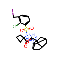 NC(=O)C12CC3CC(C1)C(NC(=O)C1(NS(=O)(=O)c4cccc(CI)c4Cl)CCC1)C(C3)C2